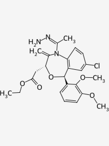 C=C1[C@@H](CC(=O)OCC)O[C@H](c2cccc(OC)c2OC)c2cc(Cl)ccc2N1/C(C)=N\N